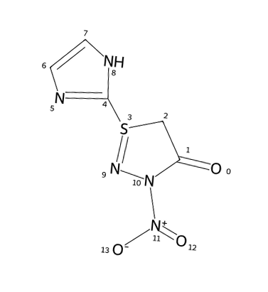 O=C1CS(c2ncc[nH]2)=NN1[N+](=O)[O-]